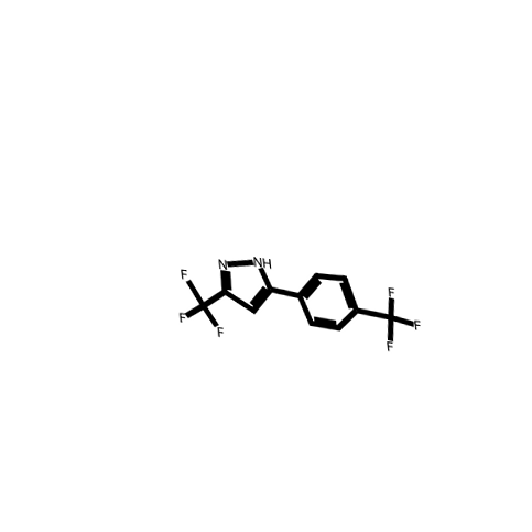 FC(F)(F)c1ccc(-c2cc(C(F)(F)F)n[nH]2)cc1